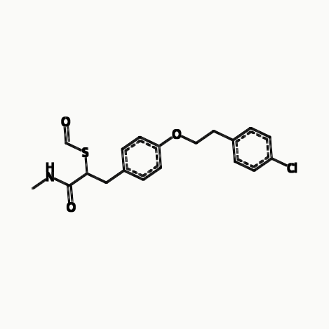 CNC(=O)C(Cc1ccc(OCCc2ccc(Cl)cc2)cc1)SC=O